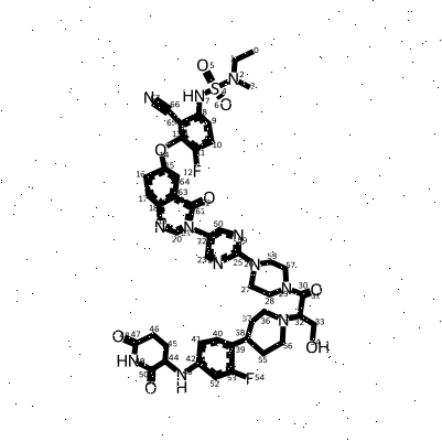 CCN(C)S(=O)(=O)Nc1ccc(F)c(Oc2ccc3ncn(-c4cnc(N5CCN(C(=O)C(CO)N6CCC(c7ccc(NC8CCC(=O)NC8=O)cc7F)CC6)CC5)nc4)c(=O)c3c2)c1C#N